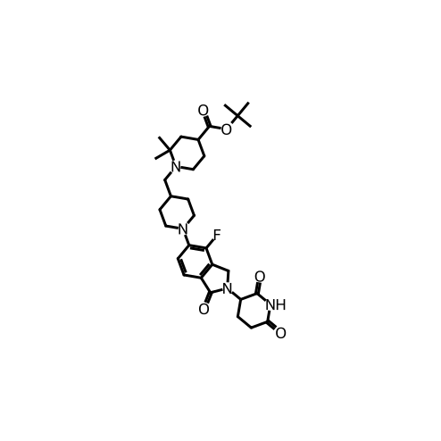 CC(C)(C)OC(=O)C1CCN(CC2CCN(c3ccc4c(c3F)CN(C3CCC(=O)NC3=O)C4=O)CC2)C(C)(C)C1